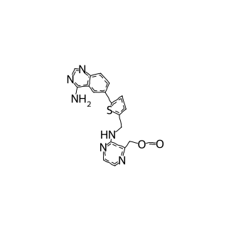 Nc1ncnc2ccc(-c3ccc(CNc4nccnc4COC=O)s3)cc12